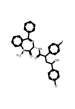 CN1C(=O)[C@@H](NC(=O)C(CC(O)c2ccc(Cl)cc2)c2ccc(F)cc2)N=C(c2ccccc2)c2ccccc21